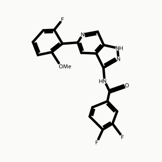 COc1cccc(F)c1-c1cc2c(NC(=O)c3ccc(F)c(F)c3)n[nH]c2cn1